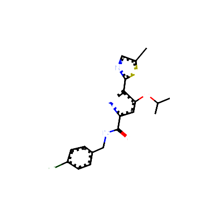 Cc1cnc(-c2cnc(C(=O)NCc3ccc(Cl)cc3)cc2OC(C)C)s1